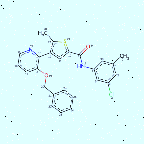 Cc1cc(Cl)cc(NC(=O)c2cc(-c3ncccc3OCc3ccccc3)c(C)s2)c1